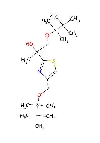 CC(O)(CO[Si](C)(C)C(C)(C)C)c1nc(CO[Si](C)(C)C(C)(C)C)cs1